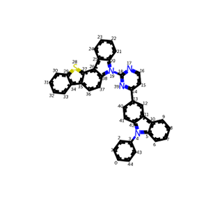 c1ccc(-n2c3ccccc3c3cc(-c4ccnc(-n5c6ccccc6c6c7sc8ccccc8c7ccc65)n4)ccc32)cc1